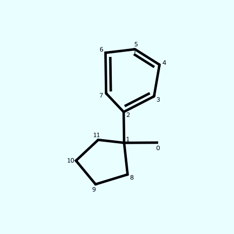 CC1(c2cc[c]cc2)CCCC1